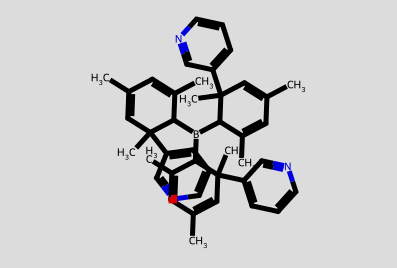 CC1=CC(C)(c2cccnc2)C(B(C2C(C)=CC(C)=CC2(C)c2cccnc2)C2C(C)=CC(C)=CC2(C)c2cccnc2)C(C)=C1